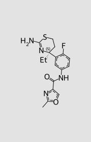 CC[C@@]1(c2cc(NC(=O)c3coc(C)n3)ccc2F)CCSC(N)=N1